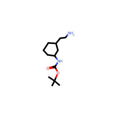 CC(C)(C)OC(=O)NC1CCCC(CCN)C1